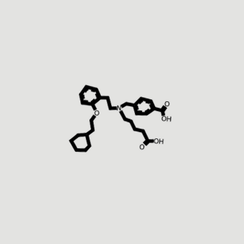 O=C(O)CCCCN(CCc1ccccc1OCCC1CCCCC1)Cc1ccc(C(=O)O)cc1